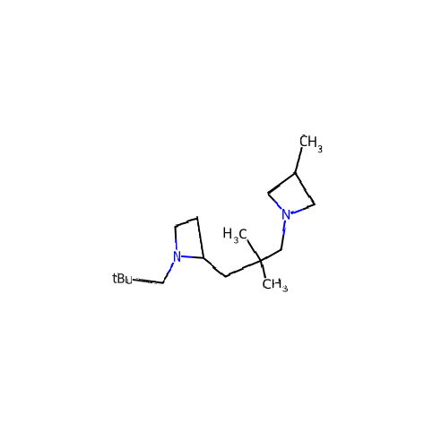 CC1CN(CC(C)(C)CC2CCN2CC(C)(C)C)C1